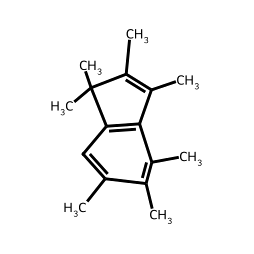 CC1=C(C)C(C)(C)c2cc(C)c(C)c(C)c21